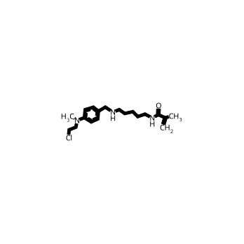 C=C(C)C(=O)NCCCCCNCc1ccc(N(C)CCCl)cc1